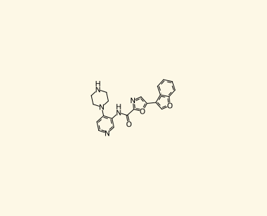 O=C(Nc1cnccc1N1CCNCC1)c1ncc(-c2coc3ccccc23)o1